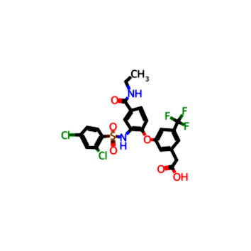 CCNC(=O)c1ccc(Oc2cc(CC(=O)O)cc(C(F)(F)F)c2)c(NS(=O)(=O)c2ccc(Cl)cc2Cl)c1